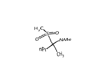 CCCC(C)(NC)S(C)(=O)=O